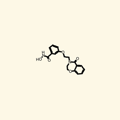 O=C(NO)c1cccc(OCCN2CCOc3ccccc3C2=O)c1